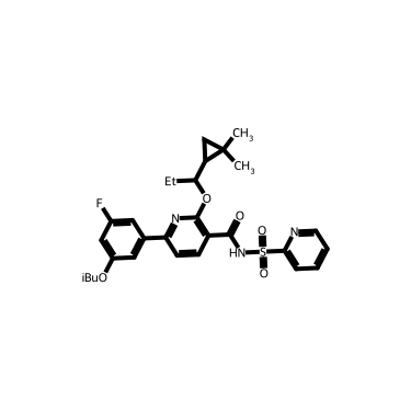 CCC(Oc1nc(-c2cc(F)cc(OCC(C)C)c2)ccc1C(=O)NS(=O)(=O)c1ccccn1)C1CC1(C)C